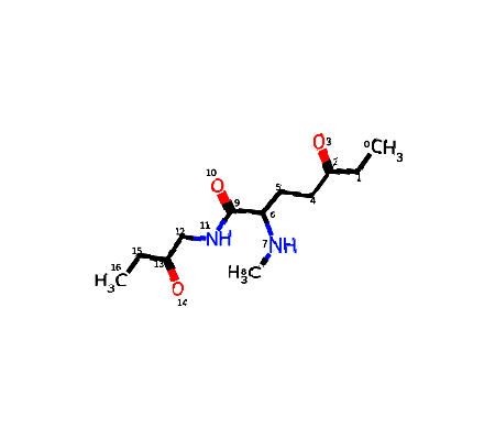 CCC(=O)CCC(NC)C(=O)NCC(=O)CC